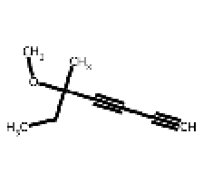 C#CC#CC(C)(CC)OC